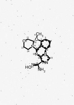 COc1cccc2c1c(N1CCOCC1)nc1c(C(N)=NO)ncn12